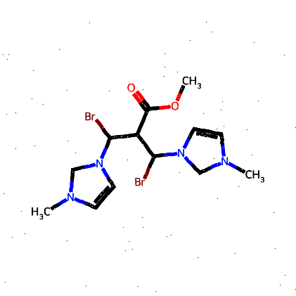 COC(=O)C(C(Br)N1C=CN(C)C1)C(Br)N1C=CN(C)C1